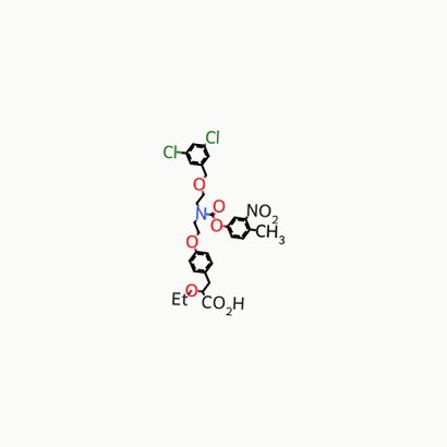 CCOC(Cc1ccc(OCCN(CCOCc2cc(Cl)cc(Cl)c2)C(=O)Oc2ccc(C)c([N+](=O)[O-])c2)cc1)C(=O)O